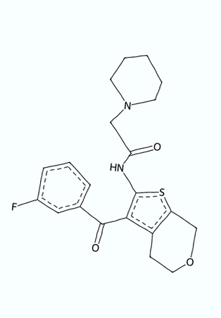 O=C(CN1CCCCC1)Nc1sc2c(c1C(=O)c1cccc(F)c1)CCOC2